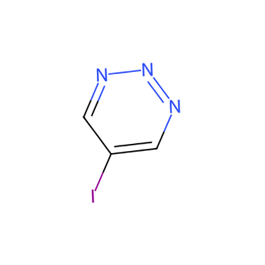 Ic1cnnnc1